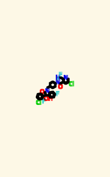 O=C(NC1CCC(CN2C(=O)C(O)(c3cccc(Cl)c3F)c3ccc(F)cc32)CC1)c1cc(Cl)cnc1C(F)F